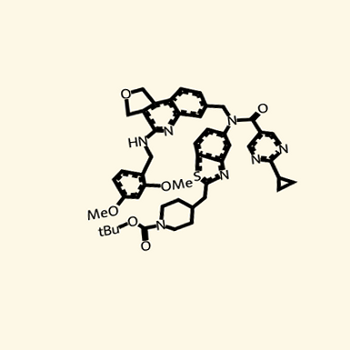 COc1ccc(CNc2nc3cc(CN(C(=O)c4cnc(C5CC5)nc4)c4ccc5sc(CC6CCN(C(=O)OC(C)(C)C)CC6)nc5c4)ccc3c3c2COC3)c(OC)c1